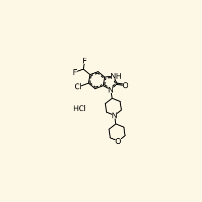 Cl.O=c1[nH]c2cc(C(F)F)c(Cl)cc2n1C1CCN(C2CCOCC2)CC1